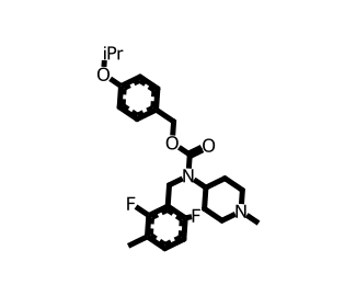 Cc1ccc(F)c(CN(C(=O)OCc2ccc(OC(C)C)cc2)C2CCN(C)CC2)c1F